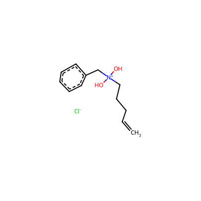 C=CCCC[N+](O)(O)Cc1ccccc1.[Cl-]